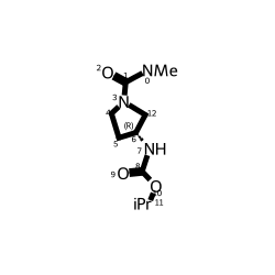 CNC(=O)N1CC[C@@H](NC(=O)OC(C)C)C1